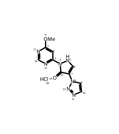 COc1cc(-n2[nH]cc(-n3ccnn3)c2=O)ncn1.Cl